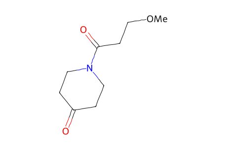 COCCC(=O)N1CCC(=O)CC1